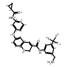 NCc1cc(NC(=O)C2=Cc3cc(Oc4ccnc(NC(=O)C5CC5)c4)ccc3OC2)cc(C(F)(F)F)c1